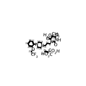 CC1(C)C(=O)NC(=O)N(CCCN2CCN(c3ccccc3OCC(F)(F)F)CC2)C1=O.O=C(O)/C=C/C(=O)O